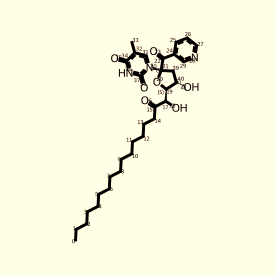 CCCCCCCCCCCCCCCC(=O)C(O)[C@H]1O[C@@](C(=O)c2cccnc2)(n2cc(C)c(=O)[nH]c2=O)C[C@@H]1O